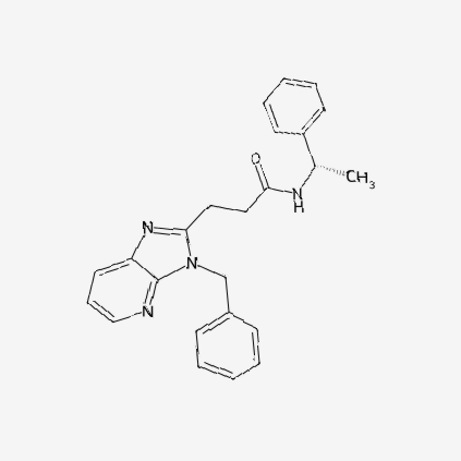 C[C@H](NC(=O)CCc1nc2cccnc2n1Cc1ccccc1)c1ccccc1